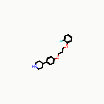 Fc1ccccc1OCCCOc1ccc(C2CCNCC2)cc1